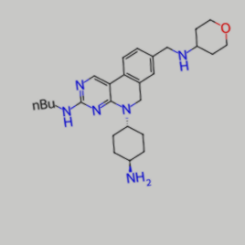 CCCCNc1ncc2c(n1)N([C@H]1CC[C@H](N)CC1)Cc1cc(CNC3CCOCC3)ccc1-2